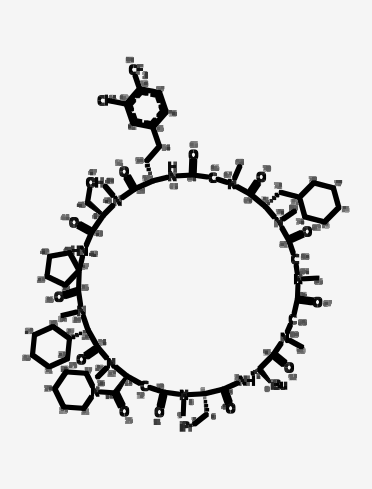 CC[C@H](C)[C@@H]1NC(=O)[C@H](CC(C)C)N(C)C(=O)C[C@@H](C(=O)N2CCCCC2)N(C)C(=O)[C@H](C2CCCCC2)N(C)C(=O)C2(CCCC2)NC(=O)[C@@H](CO)N(C)C(=O)[C@H](CCc2ccc(C(F)(F)F)c(Cl)c2)NC(=O)CN(C)C(=O)[C@H](CC2CCCCC2)N(C)C(=O)CN(C)C(=O)CN(C)C1=O